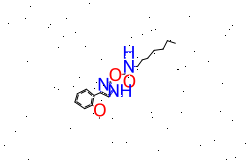 CCCCCCCNC(=O)Oc1nc(-c2ccccc2OC)c[nH]1